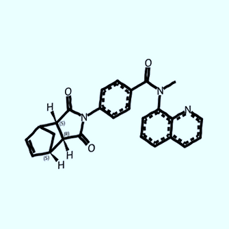 CN(C(=O)c1ccc(N2C(=O)[C@@H]3[C@@H]4C=CC(C4)[C@@H]3C2=O)cc1)c1cccc2cccnc12